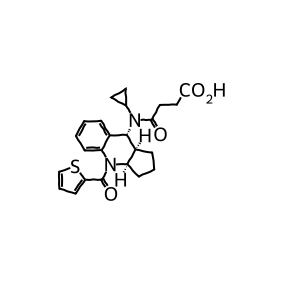 O=C(O)CCC(=O)N(C1CC1)[C@H]1c2ccccc2N(C(=O)c2cccs2)[C@@H]2CCC[C@@H]21